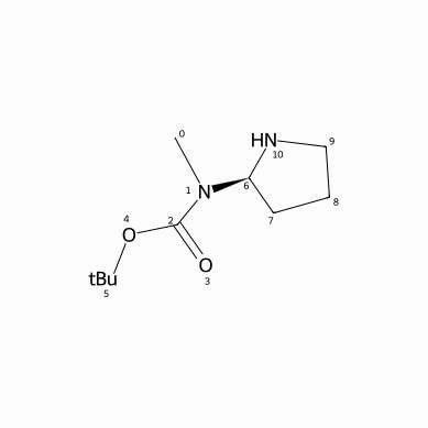 CN(C(=O)OC(C)(C)C)[C@@H]1CCCN1